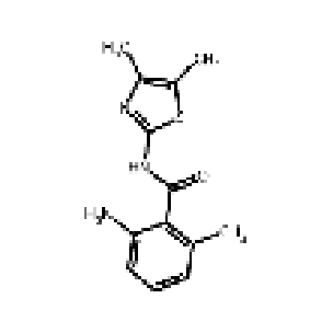 Cc1cccc(N)c1C(=O)Nc1nc(C)c(C)s1